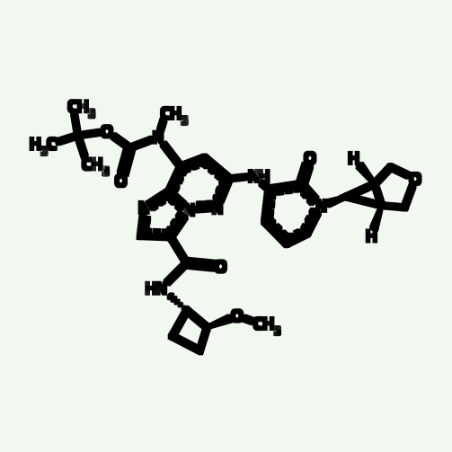 CO[C@H]1CC[C@@H]1NC(=O)c1cnc2c(N(C)C(=O)OC(C)(C)C)cc(Nc3cccn([C@H]4[C@@H]5COC[C@@H]54)c3=O)nn12